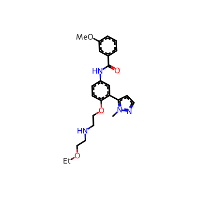 CCOCCNCCOc1ccc(NC(=O)c2cccc(OC)c2)cc1-c1ccnn1C